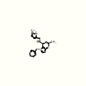 Cn1ccc(CNc2nc(N)nc3ccn(Cc4ccccc4)c23)n1